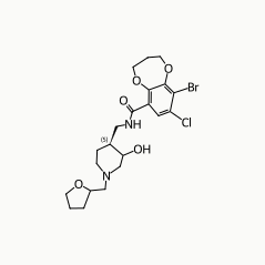 O=C(NC[C@@H]1CCN(CC2CCCO2)CC1O)c1cc(Cl)c(Br)c2c1OCCCO2